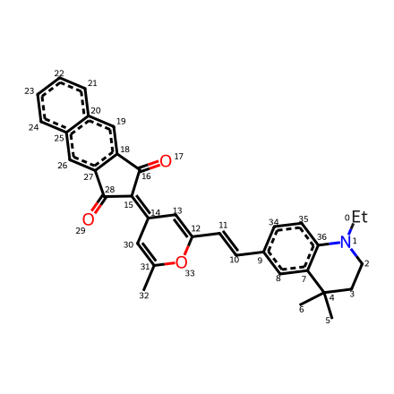 CCN1CCC(C)(C)c2cc(/C=C/C3=CC(=C4C(=O)c5cc6ccccc6cc5C4=O)C=C(C)O3)ccc21